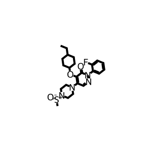 CCC1CCC(Oc2c(N3CCN([S+](C)[O-])CC3)cnn(-c3ccccc3F)c2=O)CC1